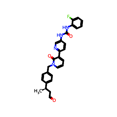 C[C@H](CC=O)c1ccc(Cn2cccc(-c3ccc(NC(=O)Nc4ccccc4F)cn3)c2=O)cc1